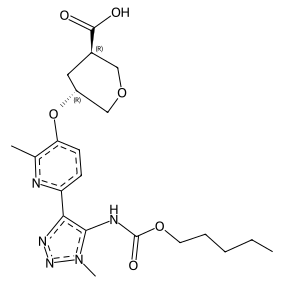 CCCCCOC(=O)Nc1c(-c2ccc(O[C@H]3COC[C@H](C(=O)O)C3)c(C)n2)nnn1C